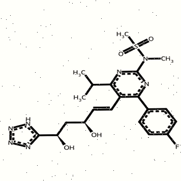 CC(C)c1nc(N(C)S(C)(=O)=O)nc(-c2ccc(F)cc2)c1/C=C/[C@@H](O)C[C@@H](O)c1nnn[nH]1